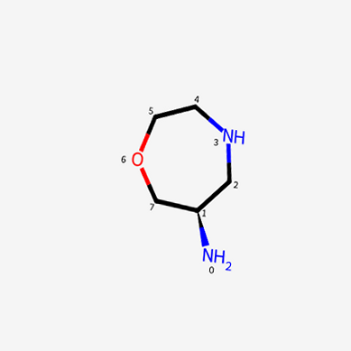 N[C@@H]1CNCCOC1